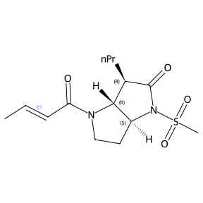 C/C=C/C(=O)N1CC[C@H]2[C@H]1[C@@H](CCC)C(=O)N2S(C)(=O)=O